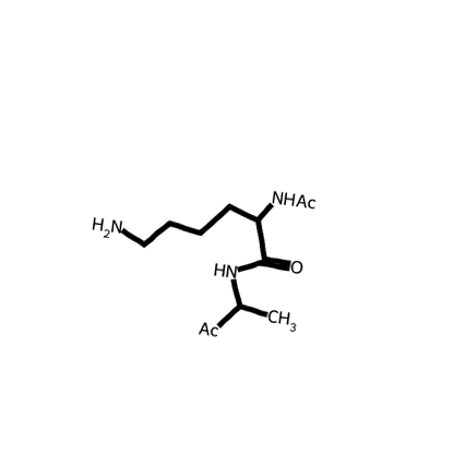 CC(=O)NC(CCCCN)C(=O)NC(C)C(C)=O